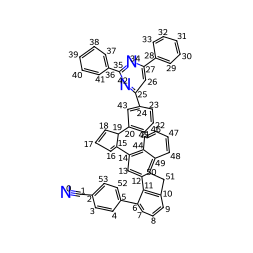 N#Cc1ccc(-c2cccc3c2-c2cc(C4=CC=CC4c4cccc(-c5cc(-c6ccccc6)nc(-c6ccccc6)n5)c4)c4ccccc4c2C3)cc1